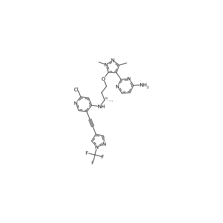 Cc1nn(C)c(OCC[C@H](C)Nc2cc(Cl)ncc2C#Cc2cnn(C(F)(F)F)c2)c1-c1nccc(N)n1